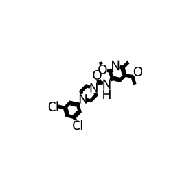 COc1nc(C)c(C(C)=O)cc1NC(=O)N1CCN(c2cc(Cl)cc(Cl)c2)CC1